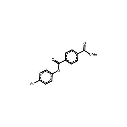 COC(=O)c1ccc(C(=O)Oc2ccc(C(C)=O)cc2)cc1